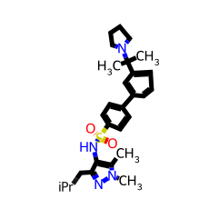 Cc1c(NS(=O)(=O)c2ccc(-c3cccc(C(C)(C)N4CCCC4)c3)cc2)c(CC(C)C)nn1C